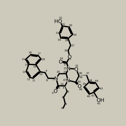 CCCC[C@H]1C(=O)N(CCc2cccc3ccccc23)CC2N(C(=O)OCCc3ccc(O)cc3)O[C@H](Cc3ccc(O)cc3)C(=O)N21